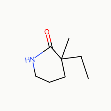 CCC1(C)CCCNC1=O